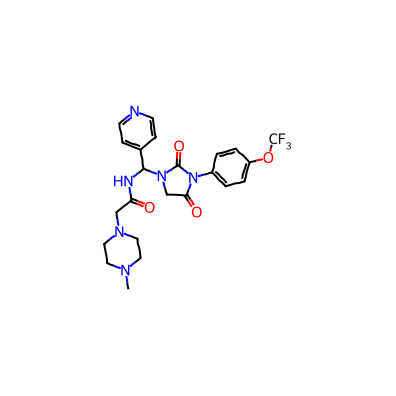 CN1CCN(CC(=O)NC(c2ccncc2)N2CC(=O)N(c3ccc(OC(F)(F)F)cc3)C2=O)CC1